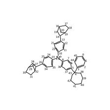 c1ccc(C2(c3ccc(N(c4ccc(C5CC6CCC5C6)cc4)c4ccc(C5CC6CCC5C6)cc4)cc3)CCCCCC2)cc1